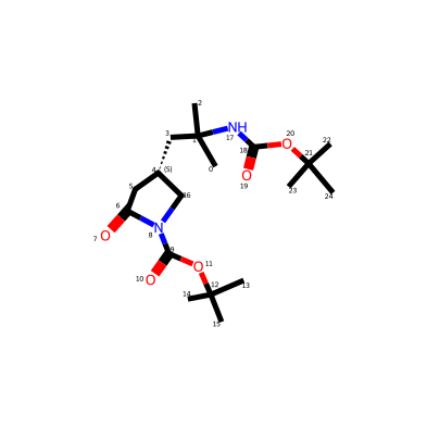 CC(C)(C[C@H]1CC(=O)N(C(=O)OC(C)(C)C)C1)NC(=O)OC(C)(C)C